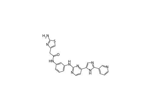 Nc1nc(CC(=O)Nc2cccc(Nc3nccc(-c4cnc(-c5cccnc5)[nH]4)n3)c2)cs1